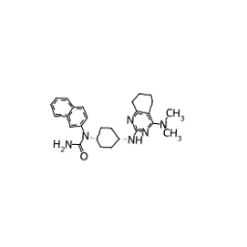 CN(C)c1nc(N[C@H]2CC[C@@H](N(C(N)=O)c3ccc4ccccc4c3)CC2)nc2c1CCCC2